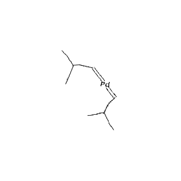 CC(C)[CH]=[Pd]=[CH]C(C)C